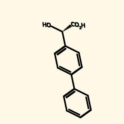 O=C(O)[C@@H](O)c1ccc(-c2ccccc2)cc1